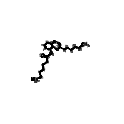 CCCCCCC(=O)Oc1cccc(Br)c1OC(=O)CCCCCC